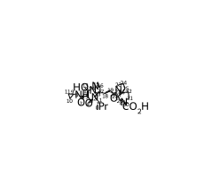 CC(C)Cn1c(=O)c(C(=O)NC2CC2)c(O)n2ncc(C=CC(=O)N3CCCC34CCN(C(=O)O)CC4)c12